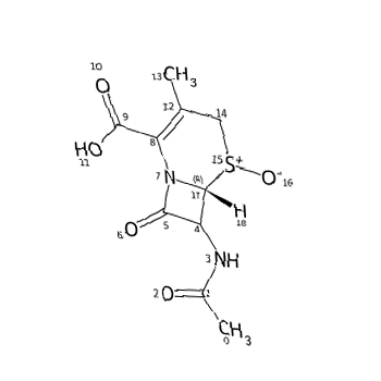 CC(=O)NC1C(=O)N2C(C(=O)O)=C(C)C[S+]([O-])[C@H]12